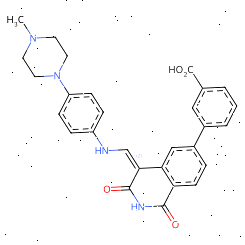 CN1CCN(c2ccc(N/C=C3\C(=O)NC(=O)c4ccc(-c5cccc(C(=O)O)c5)cc43)cc2)CC1